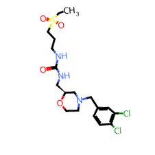 CCS(=O)(=O)CCCNC(=O)NC[C@H]1CN(Cc2ccc(Cl)c(Cl)c2)CCO1